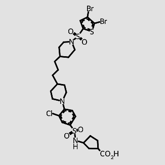 O=C(O)C1CCC(NS(=O)(=O)c2ccc(N3CCC(CCCC4CCN(S(=O)(=O)c5cc(Br)c(Br)s5)CC4)CC3)c(Cl)c2)C1